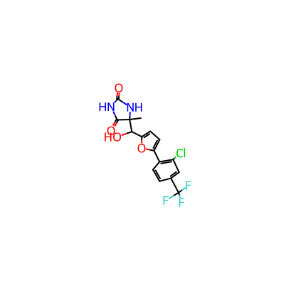 CC1(C(O)c2ccc(-c3ccc(C(F)(F)F)cc3Cl)o2)NC(=O)NC1=O